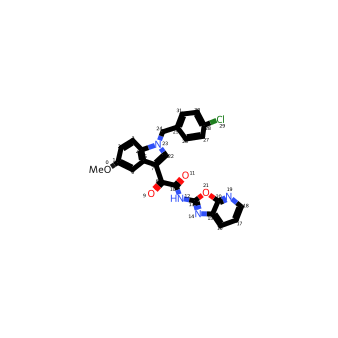 COc1ccc2c(c1)c(C(=O)C(=O)Nc1nc3cccnc3o1)cn2Cc1ccc(Cl)cc1